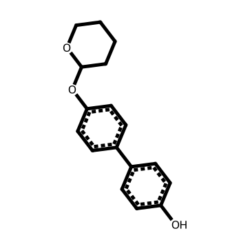 Oc1ccc(-c2ccc(OC3CCCCO3)cc2)cc1